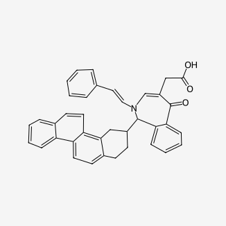 O=C(O)CC1=CN(C=Cc2ccccc2)C(C2CCc3ccc4c(ccc5ccccc54)c3C2)c2ccccc2C1=O